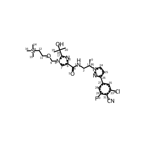 C[C@H](CNC(=O)c1cn(COCC[Si](C)(C)C)c(C(C)(C)O)n1)n1ccc(-c2cc(F)c(C#N)c(Cl)c2)n1